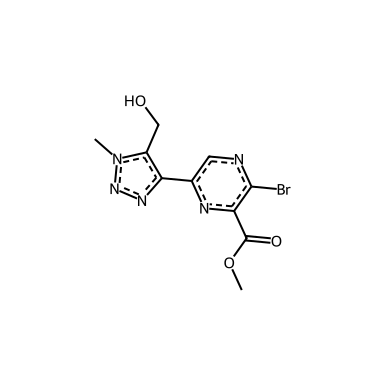 COC(=O)c1nc(-c2nnn(C)c2CO)cnc1Br